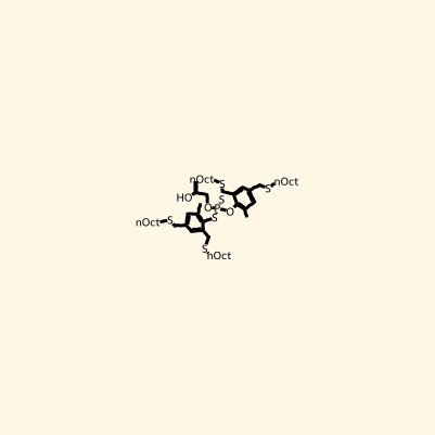 C=C(O)COP(=S)(Oc1c(C)cc(CSCCCCCCCC)cc1CSCCCCCCCC)Sc1c(C)cc(CSCCCCCCCC)cc1CSCCCCCCCC